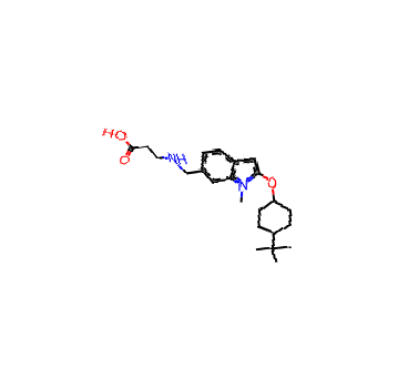 Cn1c(OC2CCC(C(C)(C)C)CC2)cc2ccc(CNCCC(=O)O)cc21